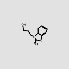 N=c1sc2ccccc2n1CCCO